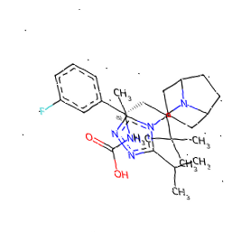 Cc1nnc(C(C)C)n1C1CC2CCC(C1)N2C(C[C@H](NC(=O)O)c1cccc(F)c1)C(C)(C)C